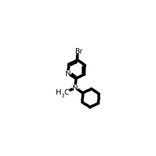 CN(c1ccc(Br)cn1)C1CCCCC1